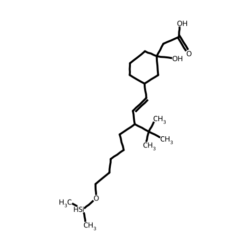 C[SiH](C)OCCCCCC(C=CC1CCCC(O)(CC(=O)O)C1)C(C)(C)C